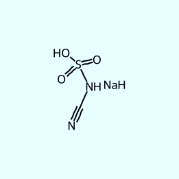 N#CNS(=O)(=O)O.[NaH]